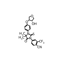 CC1(C)C(=O)N(c2ccc(C#N)c(C(F)(F)F)c2)C(=S)N1c1ccc(OC2COC[C@@H]2O)cc1